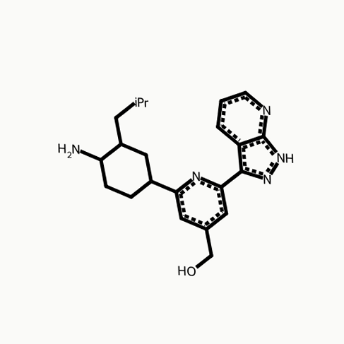 CC(C)CC1CC(c2cc(CO)cc(-c3n[nH]c4ncccc34)n2)CCC1N